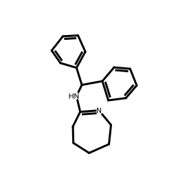 c1ccc(C(NC2=NCCCCC2)c2ccccc2)cc1